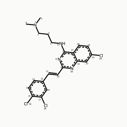 CN(C)CCCNc1nc(/C=C/c2ccc(Cl)c(Cl)c2)nc2cc(Cl)ccc12